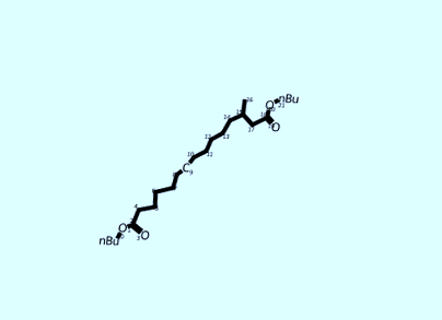 CCCCOC(=O)CCCCCCCCCCCC(C)CC(=O)OCCCC